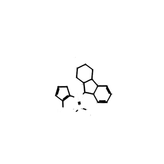 CC1=[C]([Hf+2]([CH]2C3C=CC=CC3C3CCCCC32)=[Si](C)C)CC=C1.[Cl-].[Cl-]